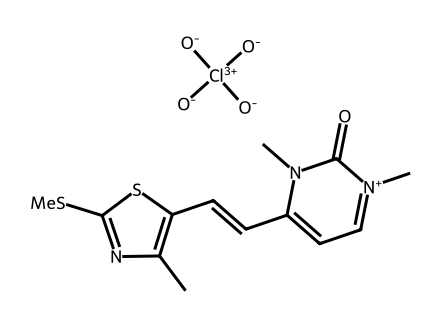 CSc1nc(C)c(/C=C/c2cc[n+](C)c(=O)n2C)s1.[O-][Cl+3]([O-])([O-])[O-]